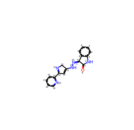 O=C1Nc2ccccc2/C1=N/NC1=CC(c2ccccn2)=NC1